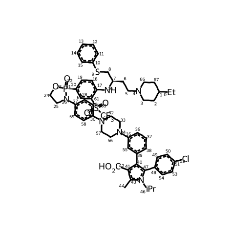 CCC1CCN(CC[C@H](CSc2ccccc2)Nc2ccc([P@]3(=O)OCCN3c3ccc(N4CCN(c5cccc(-c6c(C(=O)O)c(C)n(C(C)C)c6-c6ccc(Cl)cc6)c5)CC4)cc3)cc2S(=O)(=O)C(F)(F)F)CC1